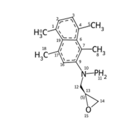 Cc1ccc(C)c2c(C)c(N(P)C[C@H]3CO3)cc(C)c12